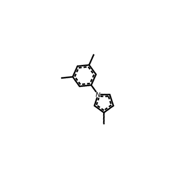 Cc1cc(C)cc(-n2ccc(C)c2)c1